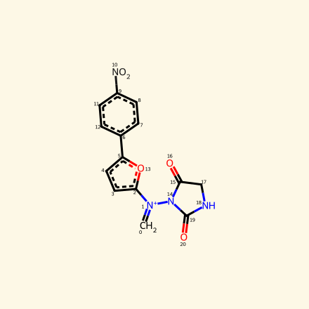 C=[N+](c1ccc(-c2ccc([N+](=O)[O-])cc2)o1)N1C(=O)CNC1=O